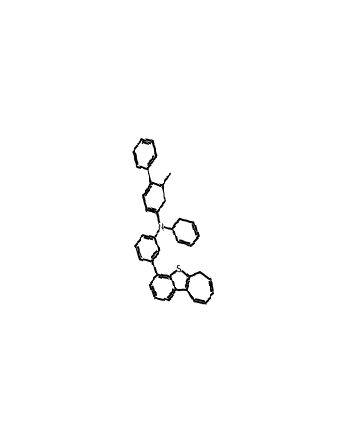 CC1CC(N(c2cccc(-c3cccc4c5c(sc34)CC=CC=C5)c2)C2C=CC=CC2)=CC=C1c1ccccc1